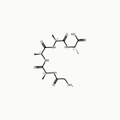 C[C@H](NC(=O)[C@H](C)NC(=O)[C@H](C)NC(=O)[C@H](C)NC(=O)CN)C(=O)O